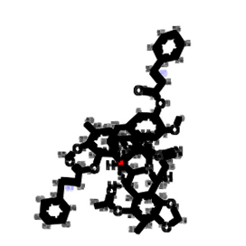 COc1cc2c(cc1OC(=O)/C=C/c1ccccc1)CCN[C@]21CS[C@@H]2c3c(OC(C)=O)c(C)c4c(c3[C@H](COC1=O)N1C2[C@H]2c3c(cc(C)c(OC)c3OC(=O)/C=C/c3ccccc3)C[C@@H]([C@@H]1C#N)N2C)OCO4